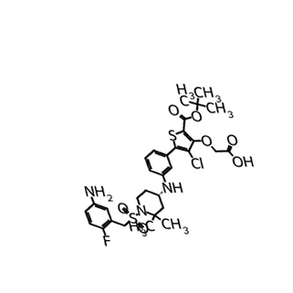 CC(C)(C)OC(=O)c1sc(-c2cccc(N[C@H]3CCN(S(=O)(=O)Cc4cc(N)ccc4F)C(C)(C)C3)c2)c(Cl)c1OCC(=O)O